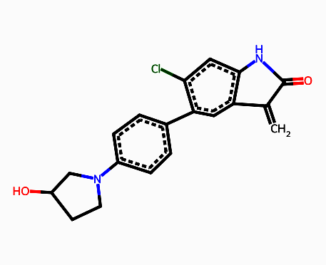 C=C1C(=O)Nc2cc(Cl)c(-c3ccc(N4CCC(O)C4)cc3)cc21